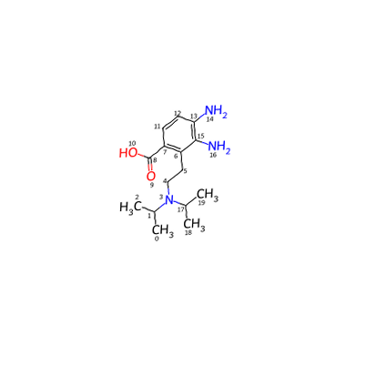 CC(C)N(CCc1c(C(=O)O)ccc(N)c1N)C(C)C